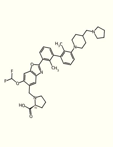 Cc1c(-c2nc3cc(CN4CCC[C@H]4C(=O)O)c(OC(F)F)cc3o2)cccc1-c1cccc(N2CCC(CN3CCCC3)CC2)c1C